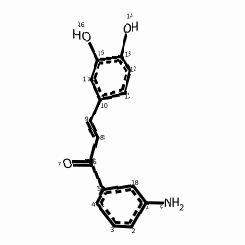 Nc1cccc(C(=O)C=Cc2ccc(O)c(O)c2)c1